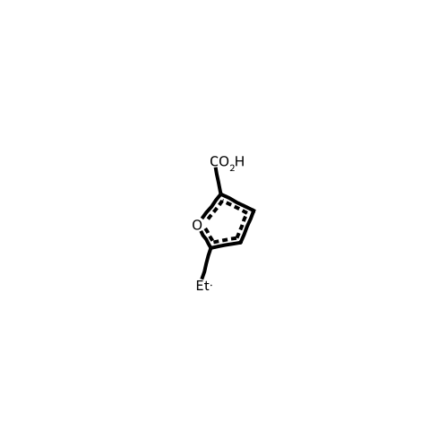 C[CH]c1ccc(C(=O)O)o1